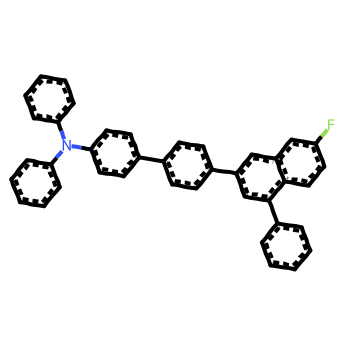 Fc1ccc2c(-c3ccccc3)cc(-c3ccc(-c4ccc(N(c5ccccc5)c5ccccc5)cc4)cc3)cc2c1